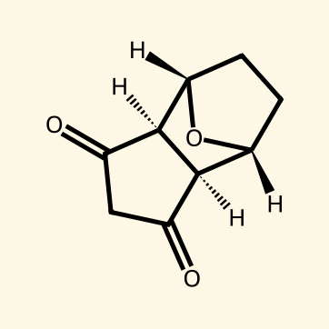 O=C1CC(=O)[C@H]2[C@@H]1[C@@H]1CC[C@H]2O1